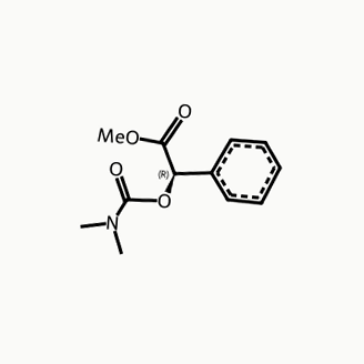 COC(=O)[C@H](OC(=O)N(C)C)c1ccccc1